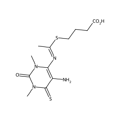 C/C(=N\c1c(N)c(=S)n(C)c(=O)n1C)SCCCC(=O)O